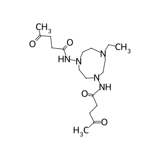 CCN1CCN(NC(=O)CCC(C)=O)CCN(NC(=O)CCC(C)=O)CC1